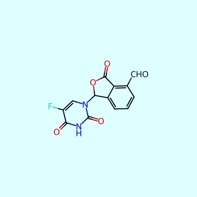 O=Cc1cccc2c1C(=O)OC2n1cc(F)c(=O)[nH]c1=O